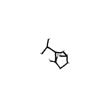 CC(C)C1CC2CCC1(C)O2